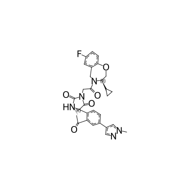 Cn1cc(-c2ccc3c(c2)C(=O)C[C@@]32NC(=O)N(CC(=O)N3Cc4cc(F)ccc4OC[C@H]3C3CC3)C2=O)cn1